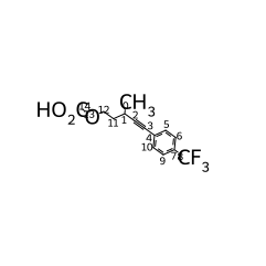 CC(C#Cc1ccc(C(F)(F)F)cc1)CCOC(=O)O